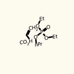 C=CC(=O)O.CCCOP(=O)(OCC)OCC